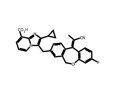 CC(C#N)=C1c2ccc(Cc3c(C4CC4)nc4c(C(=O)O)cccn34)cc2COc2cc(F)ccc21